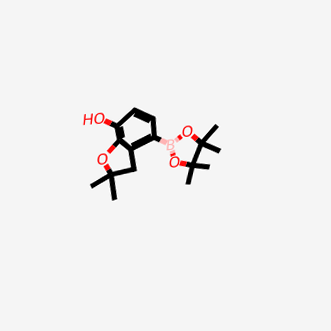 CC1(C)Cc2c(B3OC(C)(C)C(C)(C)O3)ccc(O)c2O1